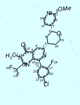 COc1cc([C@H]2C[C@@H](c3cc4c(=O)n(C)c(C(F)F)nc4c(-c4ccc(Cl)cc4F)n3)CCO2)ccn1